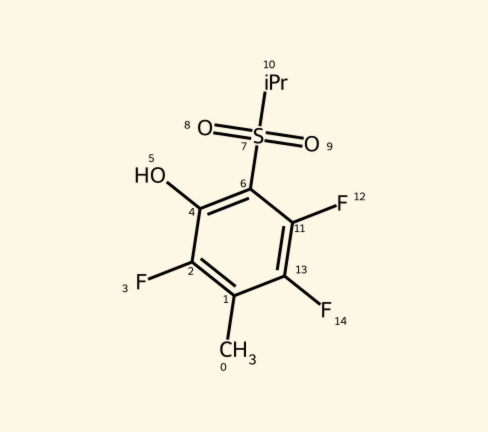 Cc1c(F)c(O)c(S(=O)(=O)C(C)C)c(F)c1F